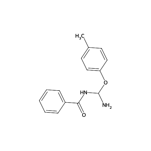 Cc1ccc(OC(N)NC(=O)c2ccccc2)cc1